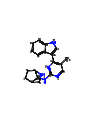 FC(F)(F)c1cnc(NC2C3CCC2NC3)nc1-c1c[nH]c2ccccc12